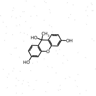 CC1(O)c2ccc(O)cc2Oc2cc(O)ccc21